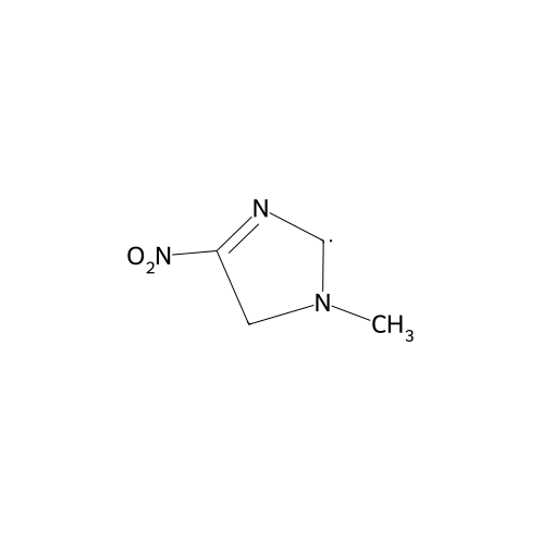 CN1[CH]N=C([N+](=O)[O-])C1